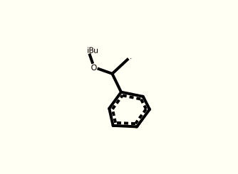 [CH2]C(OC(C)CC)c1ccccc1